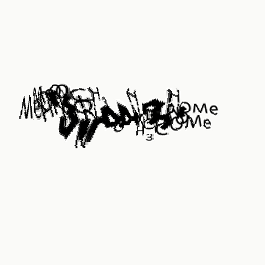 COC(=O)N[C@H](C(=O)N1CCC[C@H]1c1ncc(-c2ccc3c(c2)oc2cc(-c4cnc([C@@H]5CCCN5C(=O)[C@@H](NC(=O)OC)[C@@H](C)OC)[nH]4)ccc23)[nH]1)[C@@H](C)OC